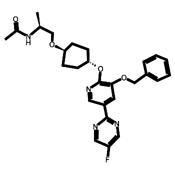 CC(=O)N[C@@H](C)CO[C@H]1CC[C@H](Oc2ncc(-c3ncc(F)cn3)cc2OCc2ccccc2)CC1